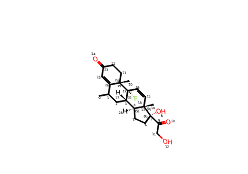 CC1C[C@H]2[C@@H]3CC[C@](O)(C(=O)CO)[C@@]3(C)C=C[C@]2(F)[C@@]2(C)CCC(=O)C=C12